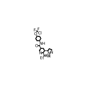 CCN(CC)c1ncc(C(=O)Nc2ccc(OC(F)(F)Cl)cc2)cc1-c1ccn[nH]1